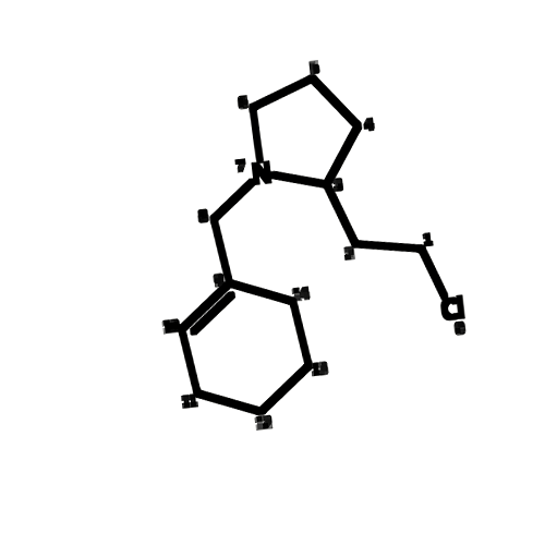 ClCCC1CCCN1CC1=CCCCC1